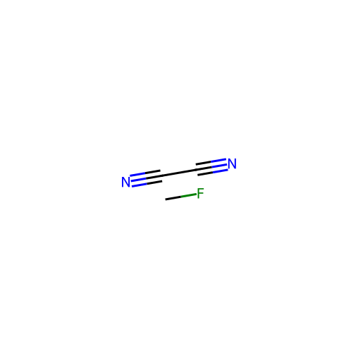 CF.N#CC#N